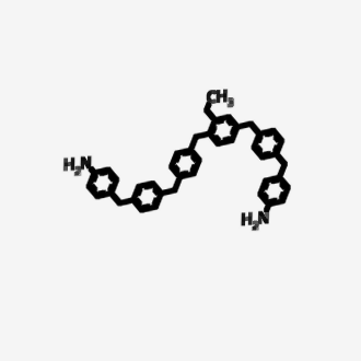 CCc1cc(Cc2ccc(Cc3ccc(N)cc3)cc2)ccc1Cc1ccc(Cc2ccc(Cc3ccc(N)cc3)cc2)cc1